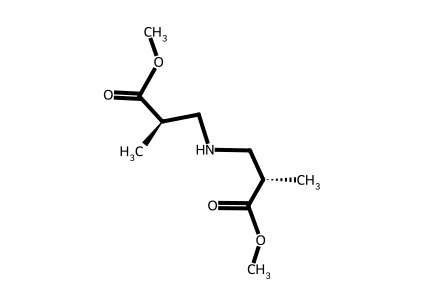 COC(=O)[C@H](C)CNC[C@H](C)C(=O)OC